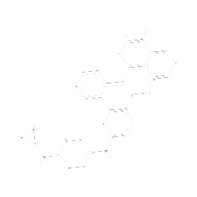 O=C(c1ccc(C2Nc3cccc4c(=O)[nH]nc(c34)C2c2ccccc2)cc1)N1CCN(C(=O)C2CC2)CC1